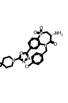 N[C@H]1CS(=O)(=O)c2ccc(-c3nnc(N4CCC(F)(F)CC4)o3)cc2N(Cc2ccc(Cl)cc2)C1=O